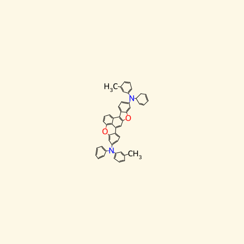 Cc1cccc(N(c2ccccc2)c2ccc3c(c2)Oc2cccc4c2c-3cc2oc3cc(N(c5cccc(C)c5)C5C=CC=CC5)ccc3c24)c1